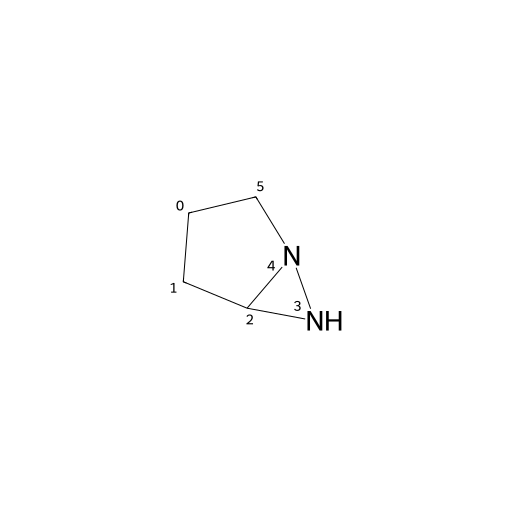 C1CC2NN2C1